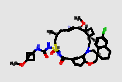 CO[C@H]1/C=C/C[C@H](C)C[S@@](=O)(NC(=O)NC23CC(OC)(C2)C3)=NC(=O)c2ccc3c(c2)N(C[C@@H]2CC[C@H]21)C[C@@]1(CCCc2cc(Cl)ccc21)CO3